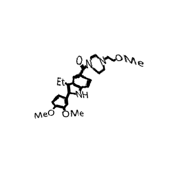 CCc1c(-c2ccc(OC)c(OC)c2)[nH]c2ccc(C(=O)N3CCN(CCOC)CC3)cc12